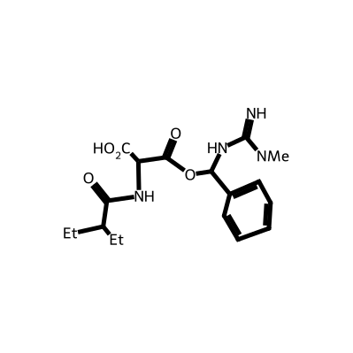 CCC(CC)C(=O)NC(C(=O)O)C(=O)OC(NC(=N)NC)c1ccccc1